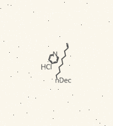 C=CCCCCCCCCCCCCCCCCC.Cl.c1ccncc1